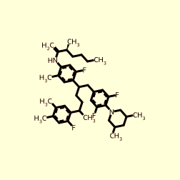 C=C(Nc1cc(F)c(C(CCC(C)c2cc(C)c(C)cc2F)Cc2cc(F)c(N3CC(C)CC(C)C3)c(F)c2)cc1C)[C@@H](C)CCCC